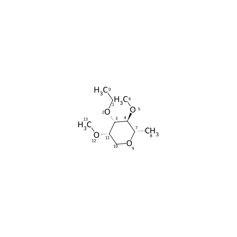 CCO[C@@H]1[C@@H](OC)[C@H](C)OC[C@@H]1OC